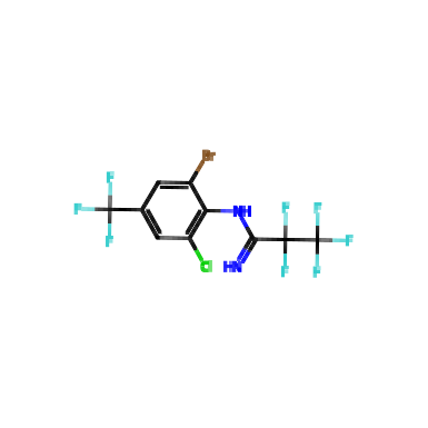 N=C(Nc1c(Cl)cc(C(F)(F)F)cc1Br)C(F)(F)C(F)(F)F